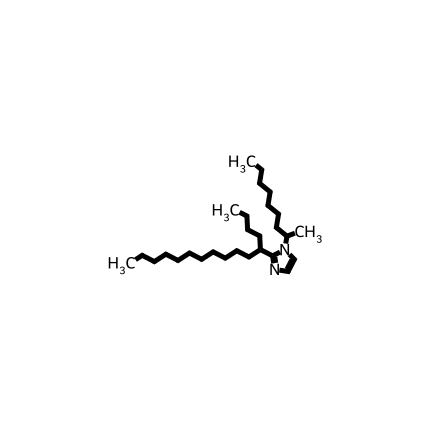 CCCCCCCCCCCC(CCCC)c1nccn1C(C)CCCCCCC